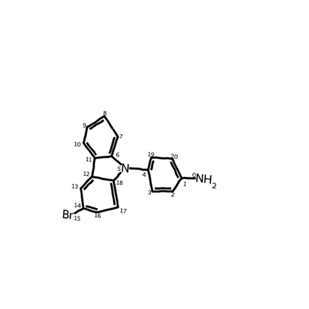 Nc1ccc(-n2c3ccccc3c3cc(Br)ccc32)cc1